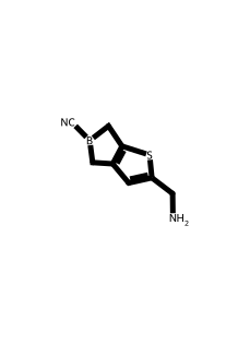 N#CB1Cc2cc(CN)sc2C1